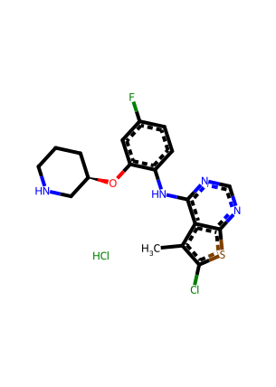 Cc1c(Cl)sc2ncnc(Nc3ccc(F)cc3O[C@@H]3CCCNC3)c12.Cl